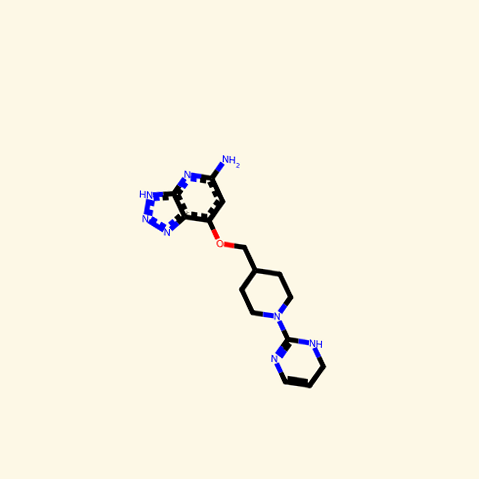 Nc1cc(OCC2CCN(C3=NC=CCN3)CC2)c2nn[nH]c2n1